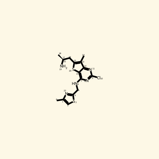 Cc1csc(CNc2nc(Cl)nc3c(C)c(C[C@H](C)N)sc23)n1